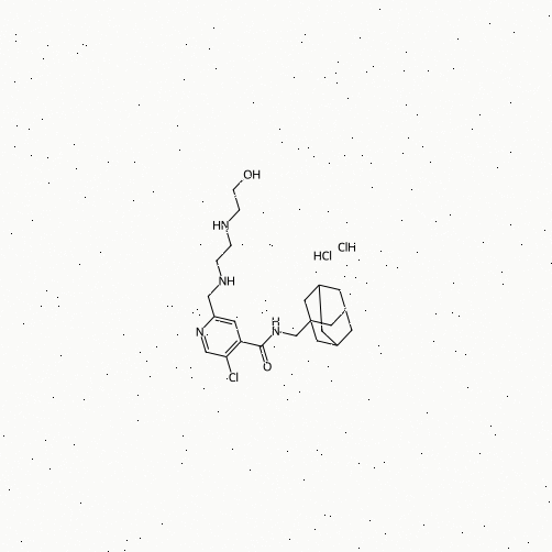 Cl.Cl.O=C(NCC12CC3CC(CC(C3)C1)C2)c1cc(CNCCNCCO)ncc1Cl